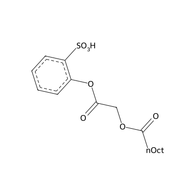 CCCCCCCCC(=O)OCC(=O)Oc1ccccc1S(=O)(=O)O